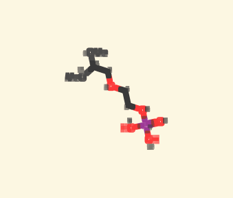 COC(COCCOP(=O)(O)O)OC